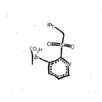 CC(=O)O.CC(C)CS(=O)(=O)c1ncccc1Br